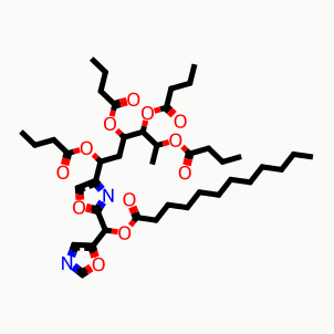 CCCCCCCCCCCC(=O)OC(c1cnco1)c1nc(C(CC(OC(=O)CCC)C(OC(=O)CCC)C(C)OC(=O)CCC)OC(=O)CCC)co1